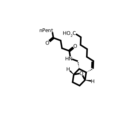 CCCCCC(=O)CCC(=O)NC[C@@H]1[C@H](/C=C\CCCCC(=O)O)[C@@H]2CC[C@H]1O2